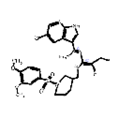 COc1ccc(S(=O)(=O)N2CCCC(CNC(/N=C(\N)c3c[nH]c4ncc(Cl)cc34)=C(\F)CI)C2)cc1OC